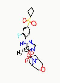 Cc1c(Nc2ccc(S(=O)(=O)C3CCC3)cc2F)ncnc1OC1CC2COCC(C1)N2C(=O)OC1CCC1